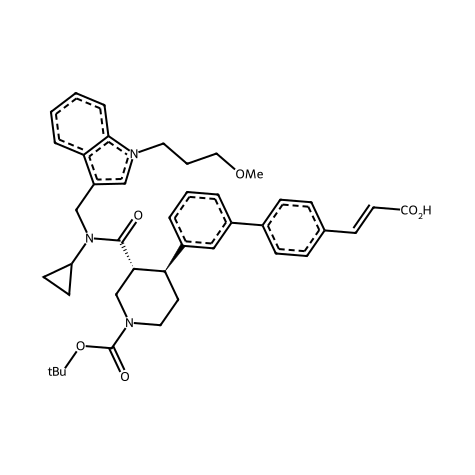 COCCCn1cc(CN(C(=O)[C@H]2CN(C(=O)OC(C)(C)C)CC[C@@H]2c2cccc(-c3ccc(/C=C/C(=O)O)cc3)c2)C2CC2)c2ccccc21